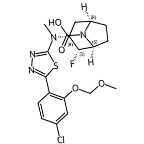 COCOc1cc(Cl)ccc1-c1nnc(N(C)[C@@H]2C[C@H]3CC[C@@H]([C@@H]2F)N3C(=O)O)s1